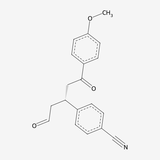 COc1ccc(C(=O)C[C@@H](CC=O)c2ccc(C#N)cc2)cc1